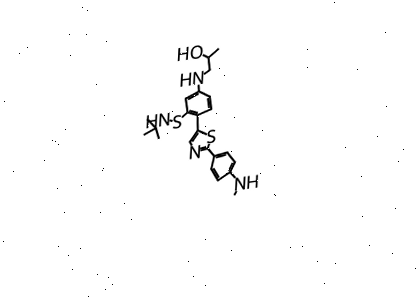 CNc1ccc(-c2ncc(-c3ccc(NCC(C)O)cc3SNC(C)(C)C)s2)cc1